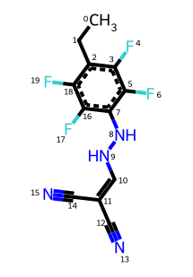 CCc1c(F)c(F)c(NNC=C(C#N)C#N)c(F)c1F